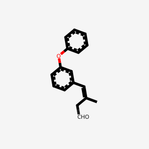 CC(=Cc1cccc(Oc2ccccc2)c1)CC=O